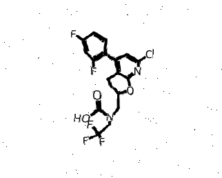 O=C(O)N(CC1CCc2c(-c3ccc(F)cc3F)cc(Cl)nc2O1)CC(F)(F)F